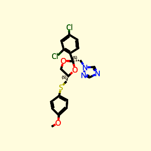 COc1ccc(SC[C@@H]2CO[C@@](Cn3cncn3)(c3ccc(Cl)cc3Cl)O2)cc1